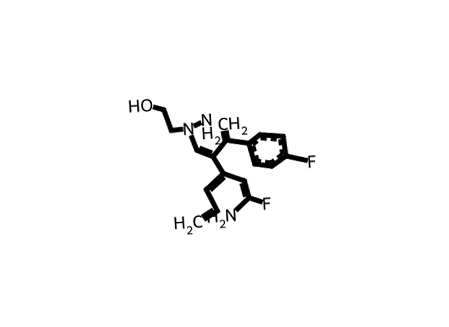 C=C/C=C(\C=C(/N)F)C(=C/N(N)CCO)/C(=C)c1ccc(F)cc1